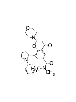 CN(C)C(=O)c1cc(C2CCCN2c2ccccc2)c2oc(N3CCOCC3)cc(=O)c2c1